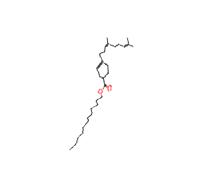 CCCCCCCCCCCCOC(=O)C1CC=C(CCC=C(C)CCC=C(C)C)CC1